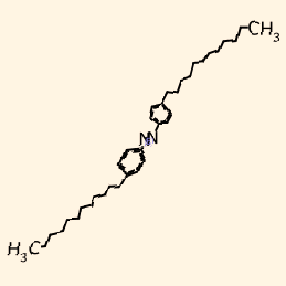 CCCCCCCCCCCCc1ccc(/N=N/c2ccc(CCCCCCCCCCCC)cc2)cc1